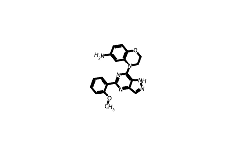 COc1ccccc1-c1nc(N2CCOc3ccc(N)cc32)c2[nH]ncc2n1